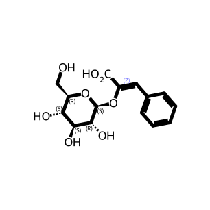 O=C(O)/C(=C/c1ccccc1)O[C@@H]1O[C@H](CO)[C@@H](O)[C@H](O)[C@H]1O